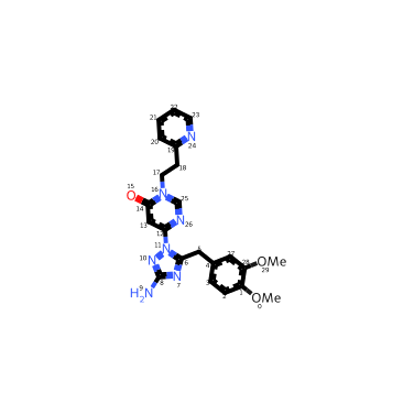 COc1ccc(Cc2nc(N)nn2-c2cc(=O)n(CCc3ccccn3)cn2)cc1OC